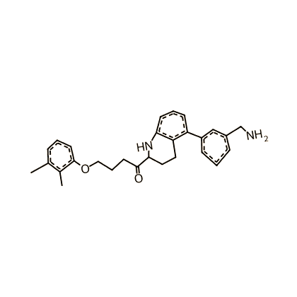 Cc1cccc(OCCCC(=O)C2CCc3c(cccc3-c3cccc(CN)c3)N2)c1C